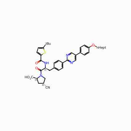 CCCCCCCOc1ccc(-c2cnc(-c3ccc(C[C@H](NC(=O)c4ccc(C(C)(C)C)s4)C(=O)N4C[C@H](C#N)C[C@H]4C(=O)O)cc3)nc2)cc1